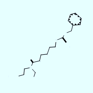 CCOC(=O)CCN(CC(=O)OCC)C(=O)CCCCCNC(=O)OCc1ccccc1